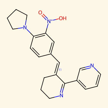 O=[N+](O)c1cc(/C=C2\CCCN=C2c2cccnc2)ccc1N1CCCC1